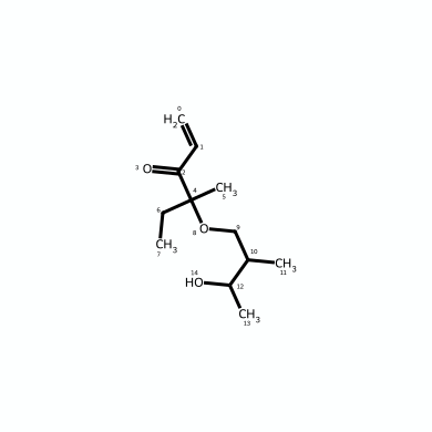 C=CC(=O)C(C)(CC)OCC(C)C(C)O